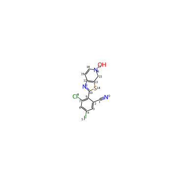 N#Cc1cc(F)cc(Cl)c1-c1nc2c(s1)CN(O)C=C2